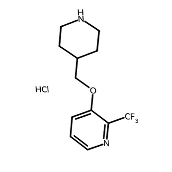 Cl.FC(F)(F)c1ncccc1OCC1CCNCC1